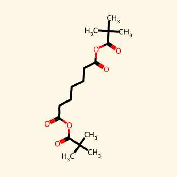 CC(C)(C)C(=O)OC(=O)CCCCCC(=O)OC(=O)C(C)(C)C